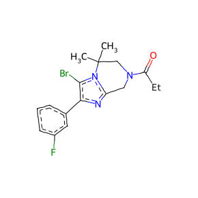 CCC(=O)N1Cc2nc(-c3cccc(F)c3)c(Br)n2C(C)(C)C1